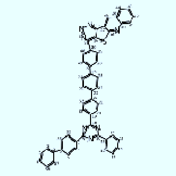 c1ccc(-c2ccc(-c3nc(-c4ccccc4)nc(-c4ccc(-c5ccc(-c6ccc(-c7nnnc8c7sc7nc9ccccc9cc78)cc6)cc5)cc4)n3)cc2)cc1